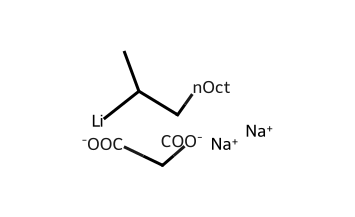 O=C([O-])CC(=O)[O-].[Li][CH](C)CCCCCCCCC.[Na+].[Na+]